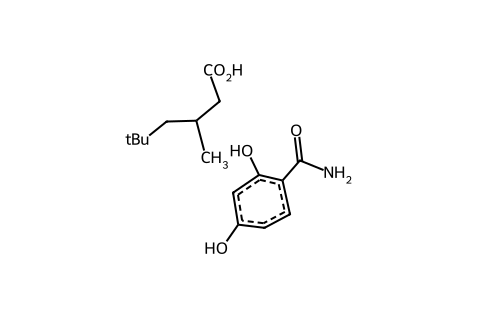 CC(CC(=O)O)CC(C)(C)C.NC(=O)c1ccc(O)cc1O